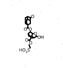 O=C1C2CC3CC1CC(C(=O)OC1C4CC5C1OC(O)C5C4C(=O)OCCS(=O)(=O)O)(C3)C2